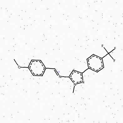 COc1ccc(/C=N/c2cc(-c3ccc(C(F)(F)F)cc3)nn2C)cc1